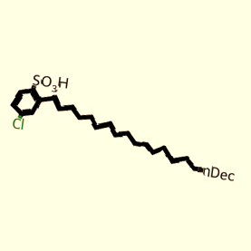 CCCCCCCCCCCCCCCCCCCCCCCCCCc1cc(Cl)ccc1S(=O)(=O)O